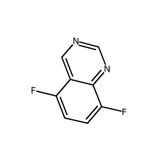 Fc1ccc(F)c2ncncc12